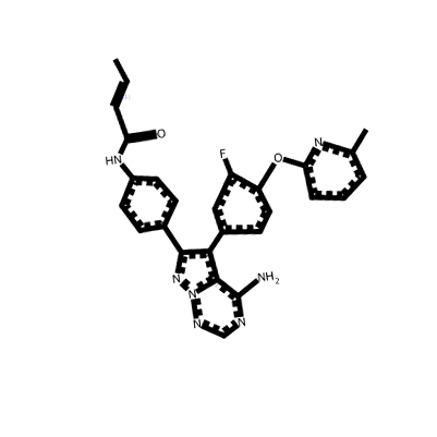 C/C=C/C(=O)Nc1ccc(-c2nn3ncnc(N)c3c2-c2ccc(Oc3cccc(C)n3)c(F)c2)cc1